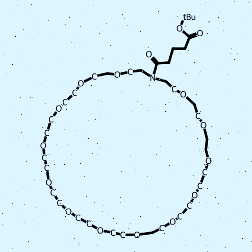 CC(C)(C)OC(=O)CCCC(=O)N1CCOCCOCCOCCOCCOCCOCCOCCOCCOCCOCCOCCOCCOCC1